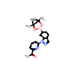 CC(=O)c1cccc(-n2ncc3ccc(B4OC(C)(C)C(C)(C)O4)cc32)n1